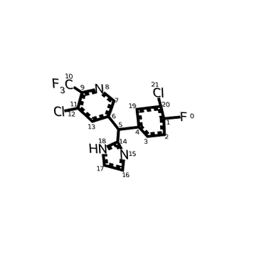 Fc1ccc(C(c2cnc(C(F)(F)F)c(Cl)c2)c2ncc[nH]2)cc1Cl